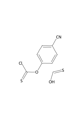 N#Cc1ccc(OC(=S)Cl)cc1.OC=S